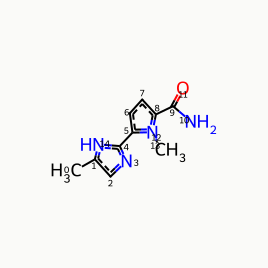 Cc1cnc(-c2ccc(C(N)=O)n2C)[nH]1